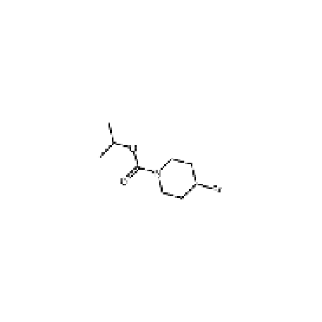 CC(C)OC(=O)N1CCC(Br)CC1